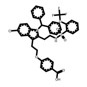 O=C(O)c1ccc(OCCc2c(CCNS(=O)(=O)c3ccccc3OC(F)(F)F)n(C(c3ccccc3)c3ccccc3)c3ccc(Cl)cc23)cc1